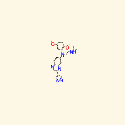 COc1ccc(OC)c(N(CCNC(C)C)c2ccc3ncc(-c4cnn(C)c4)nc3c2)c1